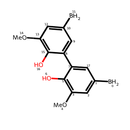 Bc1cc(OC)c(O)c(-c2cc(B)cc(OC)c2O)c1